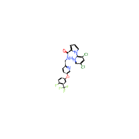 O=C(NCc1ccc(Oc2ccc(F)c(C(F)(F)F)c2)cn1)c1cccn1-c1ncc(Cl)cc1Cl